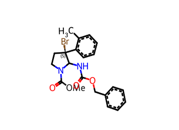 COC(=O)N1CC[C@](Br)(c2ccccc2C)C1NC(=O)OCc1ccccc1